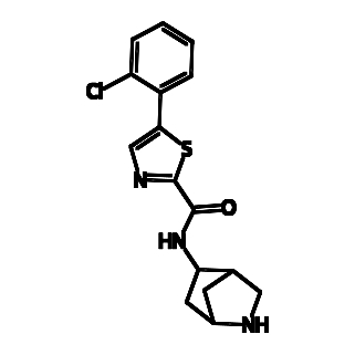 O=C(NC1CC2CC1CN2)c1ncc(-c2ccccc2Cl)s1